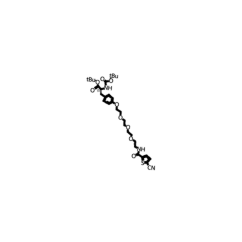 CC(C)(C)OC(=O)N[C@@H](Cc1ccc(OCCOCCOCCOCCNC(=O)c2ccc(C#N)s2)cc1)C(=O)OC(C)(C)C